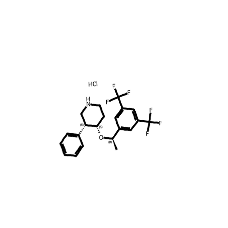 C[C@@H](O[C@H]1CCNC[C@H]1c1ccccc1)c1cc(C(F)(F)F)cc(C(F)(F)F)c1.Cl